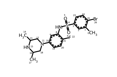 Cc1cc(S(=O)(=O)Nc2cc(N3CC(C)NC(C)C3)ccc2F)ccc1Br